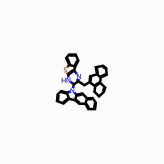 C1=Cc2c(c(CC3=Nc4c(sc5ccccc45)NC3n3c4ccccc4c4cc5ccccc5cc43)cc3ccccc23)CC1